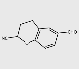 N#CC1CCc2cc(C=O)ccc2O1